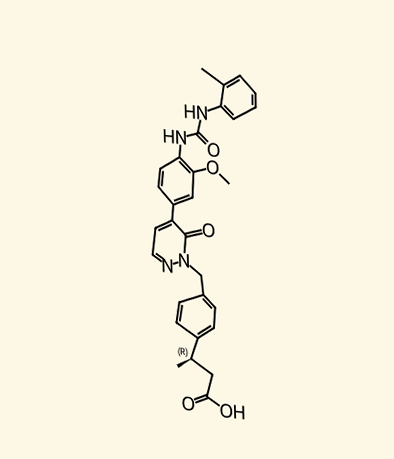 COc1cc(-c2ccnn(Cc3ccc([C@H](C)CC(=O)O)cc3)c2=O)ccc1NC(=O)Nc1ccccc1C